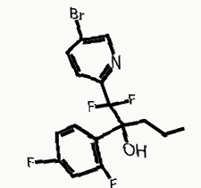 CCCC(O)(c1ccc(F)cc1F)C(F)(F)c1ccc(Br)cn1